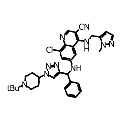 Cn1nccc1CNc1c(C#N)cnc2c(Cl)cc(NC(c3ccccc3)c3cn(C4CCN(C(C)(C)C)CC4)nn3)cc12